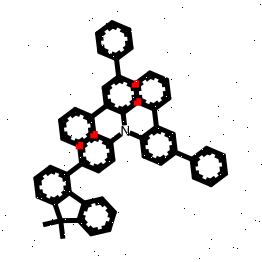 CC1(C)c2ccccc2-c2c(-c3ccc(N(c4ccc(-c5ccccc5)cc4-c4ccccc4)c4ccc(-c5ccccc5)cc4-c4ccccc4)cc3)cccc21